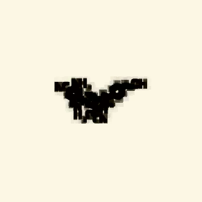 C[C@H](C#N)Nc1cc(-n2ncc3cc(C#N)c(N)nc32)ncc1-n1cc(C2CCC(CCO)CC2)nn1